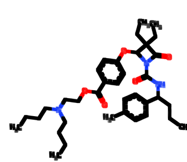 CCCCN(CCCC)CCOC(=O)c1ccc(OC2N(C(=O)NC(CCC)c3ccc(C)cc3)C(=O)C2(CC)CC)cc1